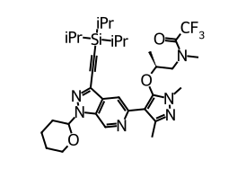 Cc1nn(C)c(O[C@@H](C)CN(C)C(=O)C(F)(F)F)c1-c1cc2c(C#C[Si](C(C)C)(C(C)C)C(C)C)nn(C3CCCCO3)c2cn1